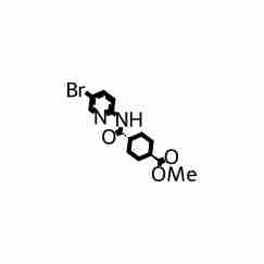 COC(=O)[C@H]1CC[C@H](C(=O)Nc2ccc(Br)cn2)CC1